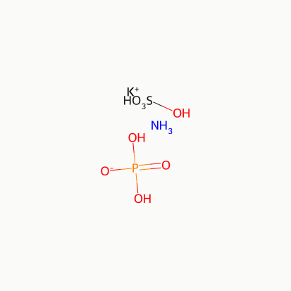 N.O=P([O-])(O)O.O=S(=O)(O)O.[K+]